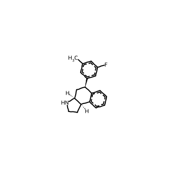 Cc1cc(F)cc([C@@H]2C[C@@H]3NCC[C@@H]3c3ccccc32)c1